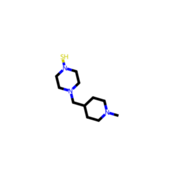 CN1CCC(CN2CCN(S)CC2)CC1